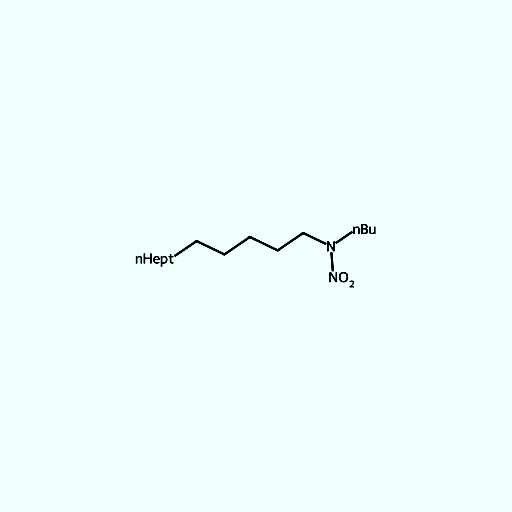 CCCCCCCCCCCCN(CCCC)[N+](=O)[O-]